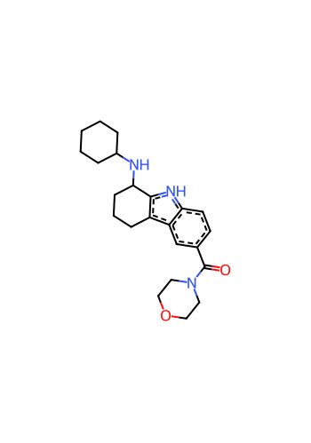 O=C(c1ccc2[nH]c3c(c2c1)CCCC3NC1CCCCC1)N1CCOCC1